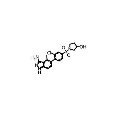 Cc1c(-c2ccc(S(=O)(=O)N3CCC(O)C3)cc2Cl)ccc2[nH]nc(N)c12